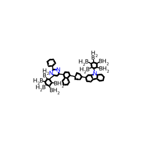 Bc1c(B)c(B)c(-c2cc(-c3ccc(-c4ccc(-c5ccc6c7ccccc7n(-c7c(B)c(B)c(B)c(B)c7B)c6c5)cc4)c4ccccc34)nc(-c3ccccc3)n2)c(B)c1B